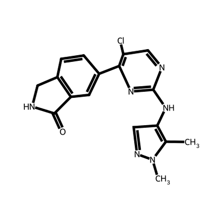 Cc1c(Nc2ncc(Cl)c(-c3ccc4c(c3)C(=O)NC4)n2)cnn1C